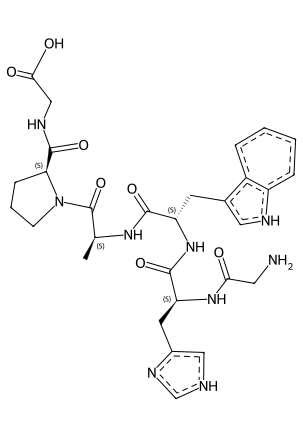 C[C@H](NC(=O)[C@H](Cc1c[nH]c2ccccc12)NC(=O)[C@H](Cc1c[nH]cn1)NC(=O)CN)C(=O)N1CCC[C@H]1C(=O)NCC(=O)O